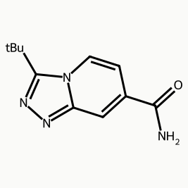 CC(C)(C)c1nnc2cc(C(N)=O)ccn12